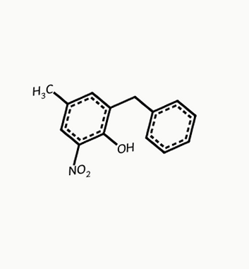 Cc1cc(Cc2ccccc2)c(O)c([N+](=O)[O-])c1